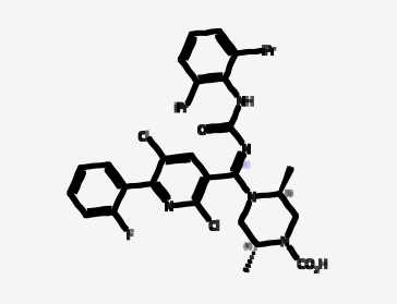 CC(C)c1cccc(C(C)C)c1NC(=O)/N=C(\c1cc(Cl)c(-c2ccccc2F)nc1Cl)N1C[C@@H](C)N(C(=O)O)C[C@@H]1C